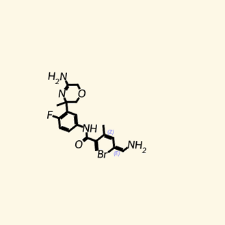 C=C(C(=O)Nc1ccc(F)c(C2(C)COCC(N)=N2)c1)/C(C)=C\C(Br)=C/N